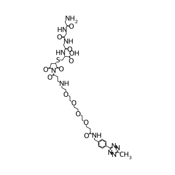 Cc1nnc(-c2ccc(CNC(=O)CCOCCOCCOCCOCCNCCC(=O)N3C(=O)CC(SCC(NC(=O)CNC(=O)CNC(=O)CN)C(=O)O)C3=O)cc2)nn1